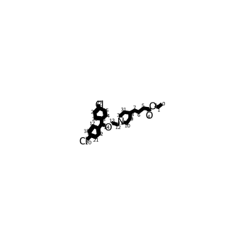 CCOC(=O)CCCC1CCN(CCOC(c2ccc(Cl)cc2)c2ccc(Cl)cc2)CC1